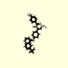 CCC(NC(=O)c1ccc(Cl)cc1)C1CCC(Oc2ccnc3ccc(C(F)(F)F)cc23)CC1